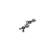 COc1ccc(-c2ccnc(Nc3ccc(-n4cnc(C)n4)cc3)n2)cc1C#N